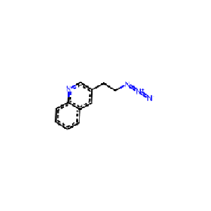 [N-]=[N+]=NCCc1cnc2ccccc2c1